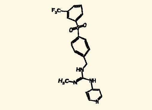 C/N=C(\NCc1ccc(S(=O)(=O)c2cccc(C(F)(F)F)c2)cc1)Nc1ccncc1